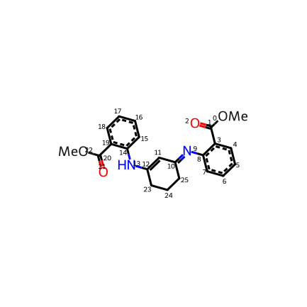 COC(=O)c1ccccc1/N=C1/C=C(Nc2ccccc2C(=O)OC)CCC1